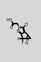 O=C(O)Cn1nc2c(c1Cl)C1C[C@H]1C2(F)F